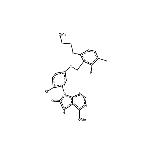 COCCOc1ccc(F)c(F)c1COc1ccc(Cl)c(-n2c(=O)[nH]c3c(OC)ncnc32)c1